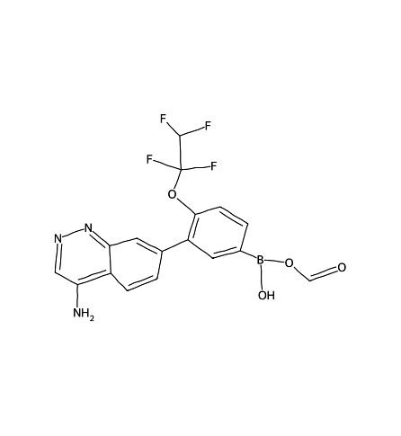 Nc1cnnc2cc(-c3cc(B(O)OC=O)ccc3OC(F)(F)C(F)F)ccc12